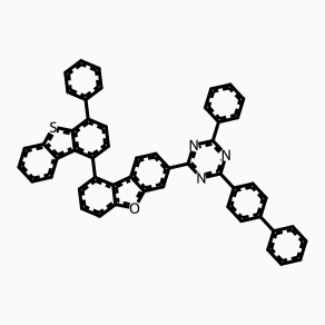 c1ccc(-c2ccc(-c3nc(-c4ccccc4)nc(-c4ccc5c(c4)oc4cccc(-c6ccc(-c7ccccc7)c7sc8ccccc8c67)c45)n3)cc2)cc1